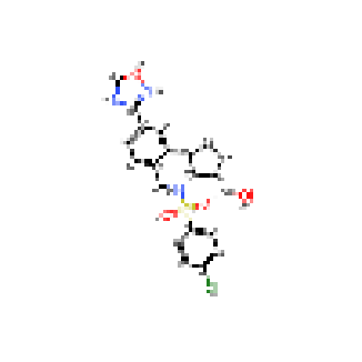 O=S(=O)(c1ccc(Cl)cc1)N(Cc1ccc(-c2ncon2)cc1)[C@@H]1CCC[C@@H]1CO